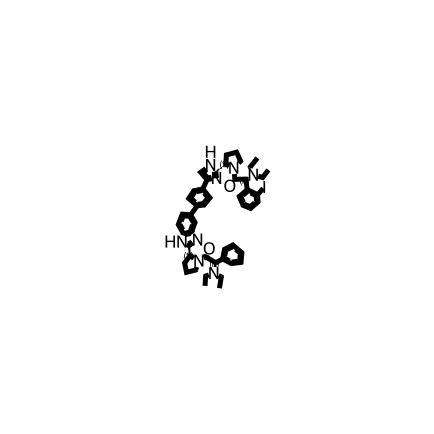 CCN(CC)[C@@H](C(=O)N1CCC[C@H]1c1nc2cc(-c3ccc(-c4c[nH]c([C@@H]5CCCN5C(=O)[C@@H](c5ccccc5I)N(CC)CC)n4)cc3)ccc2[nH]1)c1ccccc1